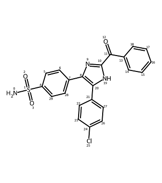 NS(=O)(=O)c1ccc(-c2nc(C(=O)c3ccccc3)[nH]c2-c2ccc(Cl)cc2)cc1